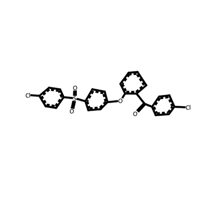 O=C(c1ccc(Cl)cc1)c1ccccc1Oc1ccc(S(=O)(=O)c2ccc(Cl)cc2)cc1